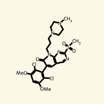 COc1cc(OC)c(Cl)c(-c2cc3cnc(S(C)(=O)=O)nc3n(CCCN3CCN(C)CC3)c2=O)c1Cl